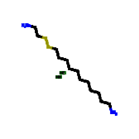 Cl.Cl.NCCCCCCCCCCCSSCCN